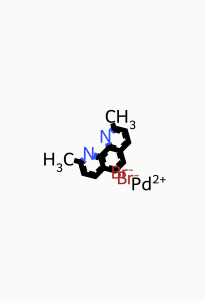 Cc1ccc2ccc3ccc(C)nc3c2n1.[Br-].[Br-].[Pd+2]